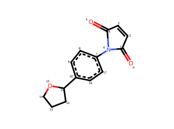 O=C1C=CC(=O)N1c1ccc(C2CCCO2)cc1